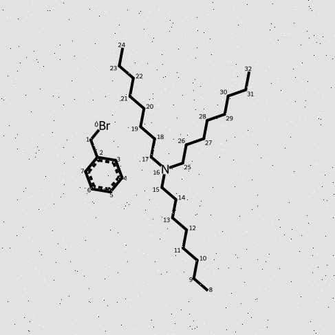 BrCc1ccccc1.CCCCCCCCN(CCCCCCCC)CCCCCCCC